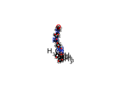 Cn1c(CO[Si](c2ccccc2)(c2ccccc2)C(C)(C)C)nnc1C1CCC(c2cnn(C3CCC(N4CC5(COC5)C4)CC3)c2)CC1